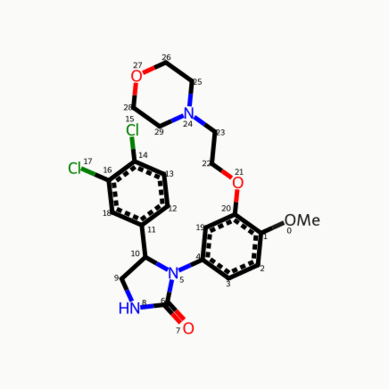 COc1ccc(N2C(=O)NCC2c2ccc(Cl)c(Cl)c2)cc1OCCN1CCOCC1